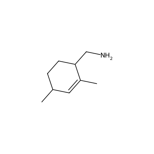 CC1=CC(C)CCC1CN